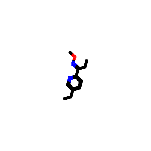 CCC(=NOC)c1ccc(CC)cn1